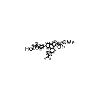 C=C(C)C(=O)OC1CCC(c2cc(OC(=O)C(C)COC)ccc2-c2ccc(-c3ccc(OC(=O)C(=C)CO)cc3)cc2)CC1